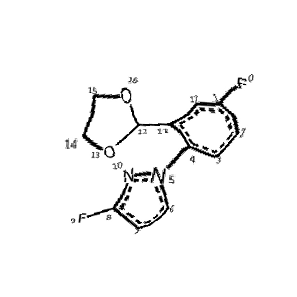 Fc1ccc(-n2ccc(F)n2)c(C2OCCO2)c1